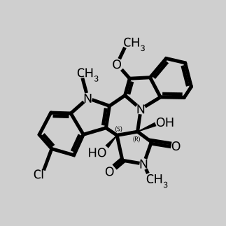 COc1c2n(c3ccccc13)[C@]1(O)C(=O)N(C)C(=O)[C@]1(O)c1c-2n(C)c2ccc(Cl)cc12